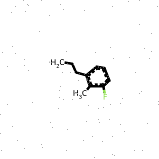 [CH2]CCc1cccc(F)c1C